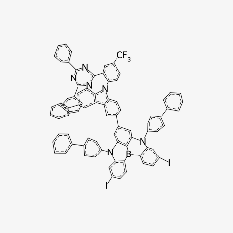 FC(F)(F)c1ccc(-n2c3ccc(-c4ccccc4)cc3c3cc(-c4cc5c6c(c4)N(c4ccc(-c7ccccc7)cc4)c4cc(I)ccc4B6c4ccc(I)cc4N5c4ccc(-c5ccccc5)cc4)ccc32)c(-c2nc(-c3ccccc3)nc(-c3ccccc3)n2)c1